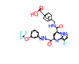 O=C(NCc1cccc(OC(F)(F)F)c1)c1cc(C(=O)NCC23CCC(C(=O)O)(CC2)CC3)n2ncc(F)c2n1